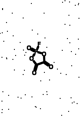 O=C1OP(=O)(F)OC1=O